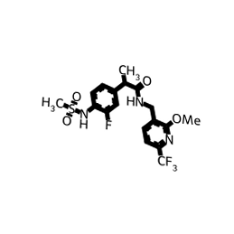 COc1nc(C(F)(F)F)ccc1CNC(=O)C(C)c1ccc(NS(C)(=O)=O)c(F)c1